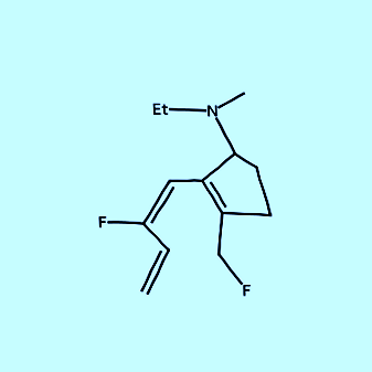 C=C/C(F)=C\C1=C(CF)CCC1N(C)CC